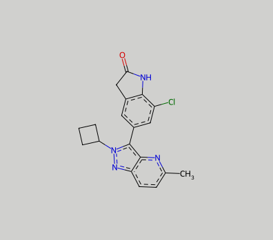 Cc1ccc2nn(C3CCC3)c(-c3cc(Cl)c4c(c3)CC(=O)N4)c2n1